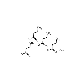 CCCC(=O)[O-].CCCC(=O)[O-].CCCC(=O)[O-].CCCC(=O)[O-].[Ce+4]